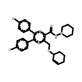 O=C(NN1CCCCC1)c1nc(-c2ccc(Cl)cc2)c(-c2ccc(Cl)cc2)nc1COC1C=CCCC1